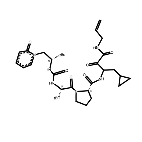 C=CCNC(=O)C(=O)C(CC1CC1)NC(=O)[C@@H]1CCCN1C(=O)[C@@H](NC(=O)N[C@H](Cn1ccccc1=O)C(C)(C)C)C(C)(C)C